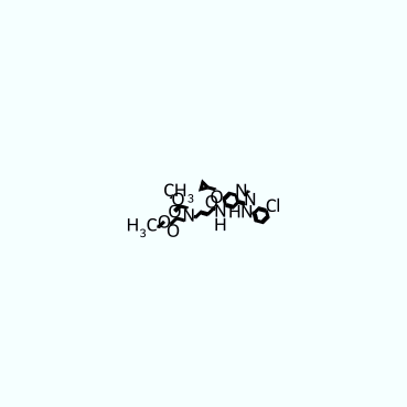 CCOC(=O)CCN(CC=CC(=O)Nc1cc2c(Nc3cccc(Cl)c3)ncnc2cc1OCC1CC1)CC(=O)OCC